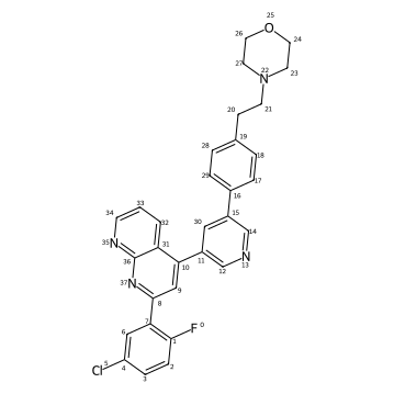 Fc1ccc(Cl)cc1-c1cc(-c2cncc(-c3ccc(CCN4CCOCC4)cc3)c2)c2cccnc2n1